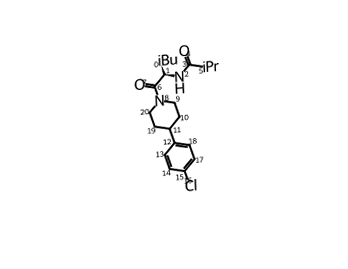 CC[C@H](C)[C@@H](NC(=O)C(C)C)C(=O)N1CCC(c2ccc(Cl)cc2)CC1